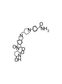 NC(=O)c1ccc(N2CCC(CN3Cc4cc5c(cc4C3)C(=O)N(C3CCC(=O)NC3=O)C5=O)CC2)cc1